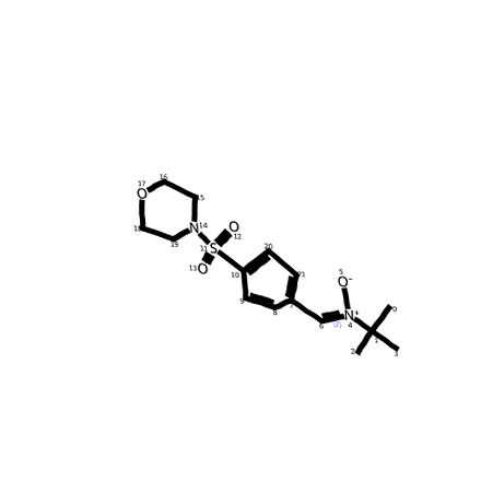 CC(C)(C)/[N+]([O-])=C/c1ccc(S(=O)(=O)N2CCOCC2)cc1